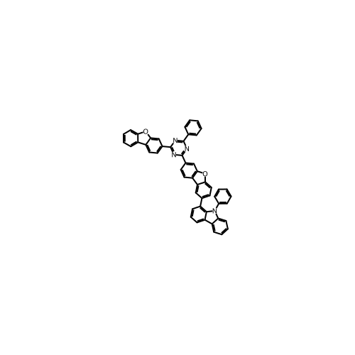 c1ccc(-c2nc(-c3ccc4c(c3)oc3ccccc34)nc(-c3ccc4c(c3)oc3ccc(-c5cccc6c7ccccc7n(-c7ccccc7)c56)cc34)n2)cc1